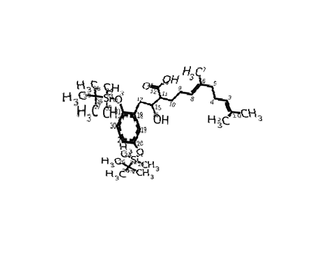 CC(C)=CCC/C(C)=C/CCC(C(=O)O)C(O)Cc1cc(O[Si](C)(C)C(C)(C)C)ccc1O[Si](C)(C)C(C)(C)C